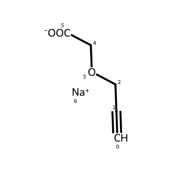 C#CCOCC(=O)[O-].[Na+]